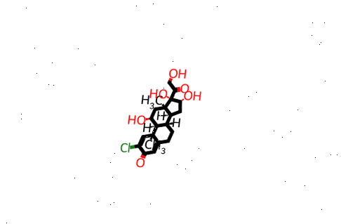 C[C@]12C=C(Cl)C(=O)C=C1CC[C@@H]1[C@@H]2[C@@H](O)C[C@@]2(C)[C@H]1C[C@@H](O)[C@]2(O)C(=O)CO